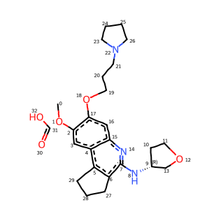 COc1cc2c3c(c(N[C@@H]4CCOC4)nc2cc1OCCCN1CCCC1)CCC3.O=CO